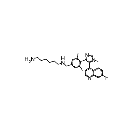 Cc1cc(CNCCCCCCN)cc(C)c1-c1ncn(C)c1-c1ccnc2cc(F)ccc12